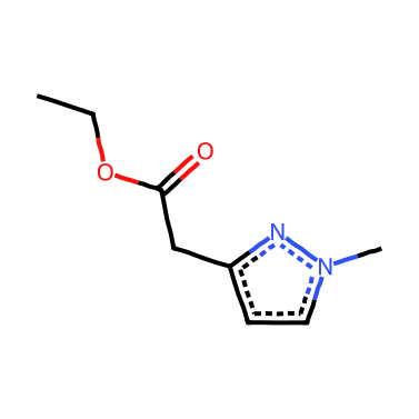 CCOC(=O)Cc1ccn(C)n1